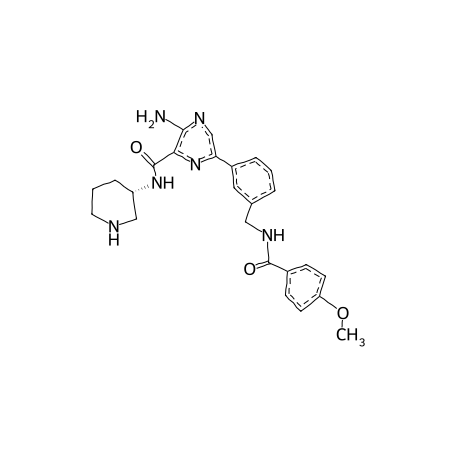 COc1ccc(C(=O)NCc2cccc(-c3cnc(N)c(C(=O)N[C@H]4CCCNC4)n3)c2)cc1